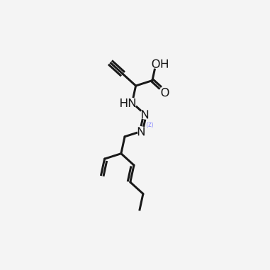 C#CC(N/N=N\CC(C=C)C=CCC)C(=O)O